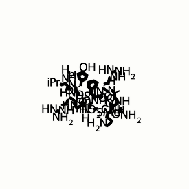 CSCC[C@H](NC(=O)[C@@H](C)NC(=O)[C@H](CCCNC(=N)N)NC(=O)[C@@H](Cc1ccc(O)cc1)NC(=O)[C@@H](N)CC(C)C)C(=O)N[C@H](C(=O)N[C@H](CCCNC(=N)N)C(=O)N[C@@H](C)C(=O)N[C@H](CC(N)=O)C(=O)N[C@@H](CCCCN)C(=O)O)[C@H](S)c1ccccc1